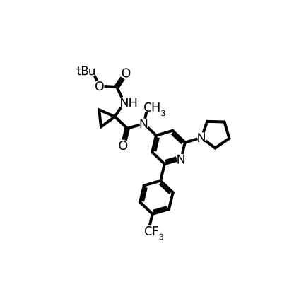 CN(C(=O)C1(NC(=O)OC(C)(C)C)CC1)c1cc(-c2ccc(C(F)(F)F)cc2)nc(N2CCCC2)c1